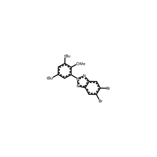 COc1c(-n2nc3cc(Br)c(Br)cc3n2)cc(C(C)(C)C)cc1C(C)(C)C